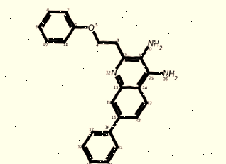 Nc1c(CCOc2ccccc2)nc2cc(-c3ccccc3)ccc2c1N